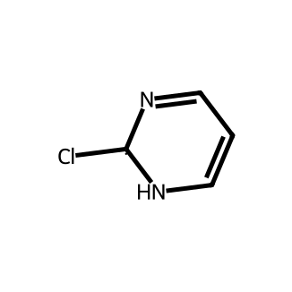 Cl[C]1N=CC=CN1